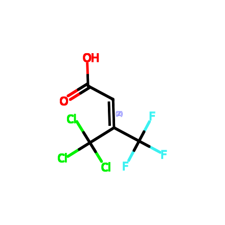 O=C(O)/C=C(/C(F)(F)F)C(Cl)(Cl)Cl